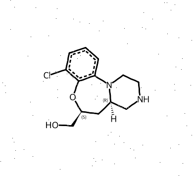 OC[C@@H]1C[C@@H]2CNCCN2c2cccc(Cl)c2O1